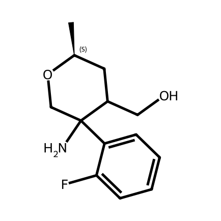 C[C@H]1CC(CO)C(N)(c2ccccc2F)CO1